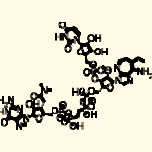 CCC1=C(N)c2ncn([C@@H]3O[C@H](COP(=O)(O)OP(=O)(O)CCP(=O)(O)OP(=O)(O)OC[C@H]4O[C@@H](n5cnc6c(=O)[nH]c(N)nc65)[C@H](O)[C@@H]4CC(=O)N(C)C)[C@@H](OP(=O)(O)OC[C@H]4O[C@@H](n5ccc(=O)[nH]c5=O)[C@H](O)[C@@H]4O)[C@H]3OC)c2N=CC1